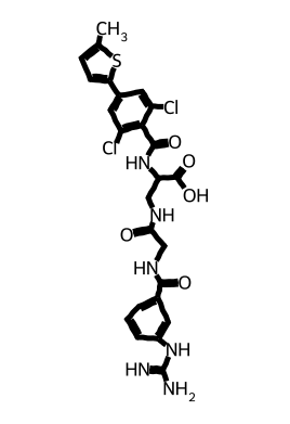 Cc1ccc(-c2cc(Cl)c(C(=O)NC(CNC(=O)CNC(=O)c3cccc(NC(=N)N)c3)C(=O)O)c(Cl)c2)s1